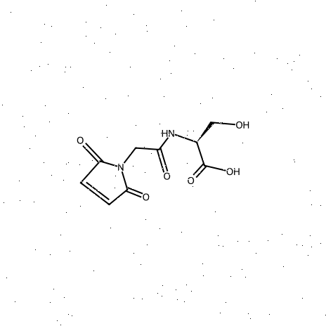 O=C(CN1C(=O)C=CC1=O)N[C@@H](CO)C(=O)O